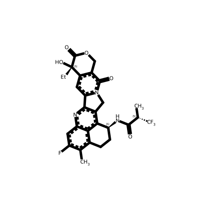 CC[C@@]1(O)C(=O)OCc2c1cc1n(c2=O)Cc2c-1nc1cc(F)c(C)c3c1c2[C@@H](NC(=O)[C@H](C)C(F)(F)F)CC3